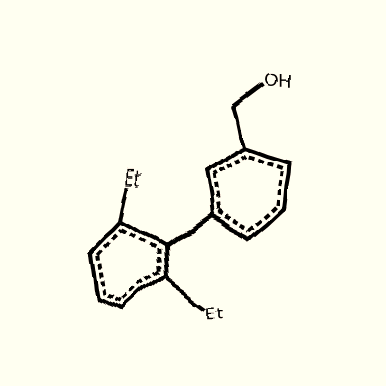 CCc1cccc(CC)c1-c1cccc(CO)c1